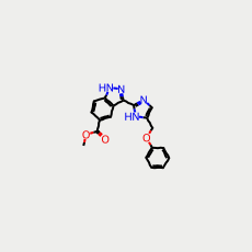 COC(=O)c1ccc2[nH]nc(-c3ncc(COc4ccccc4)[nH]3)c2c1